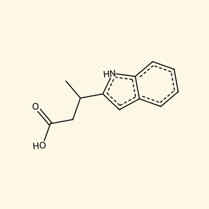 CC(CC(=O)O)c1cc2ccccc2[nH]1